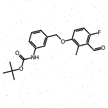 Cc1c(OCc2cccc(NC(=O)OC(C)(C)C)c2)ccc(F)c1C=O